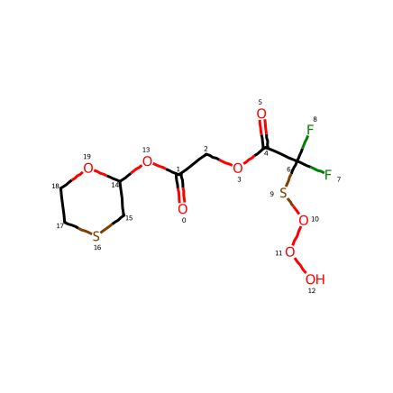 O=C(COC(=O)C(F)(F)SOOO)OC1CSCCO1